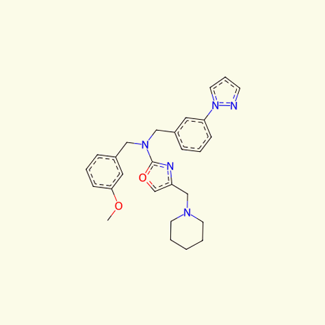 COc1cccc(CN(Cc2cccc(-n3cccn3)c2)c2nc(CN3CCCCC3)co2)c1